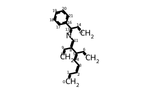 C=C\C=C/C=C(C=C)/C(C=C)=C/N=C(\C=C)c1ccccc1